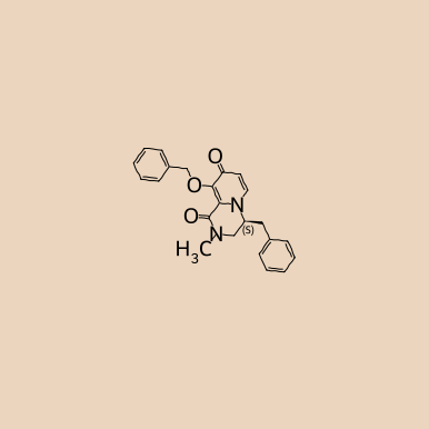 CN1C[C@H](Cc2ccccc2)n2ccc(=O)c(OCc3ccccc3)c2C1=O